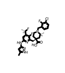 Cc1cc(Nc2cc([C@H](C)F)c(F)c(C[C@@]3(C(=O)O)CCN(Cc4cccc(Cl)c4F)[C@H](C)C3)n2)n[nH]1